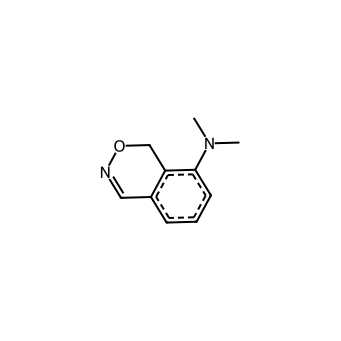 CN(C)c1cccc2c1CON=C2